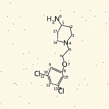 NC1CCN(CCOc2cc(Cl)cc(Cl)c2)CC1